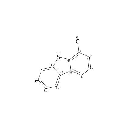 Clc1cccc2c1sc1ccccc12